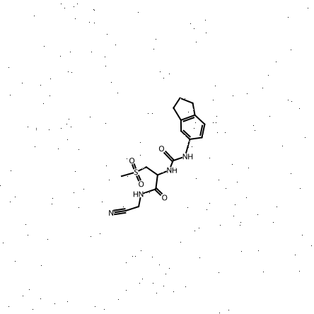 CS(=O)(=O)CC(NC(=O)Nc1ccc2c(c1)CCC2)C(=O)NCC#N